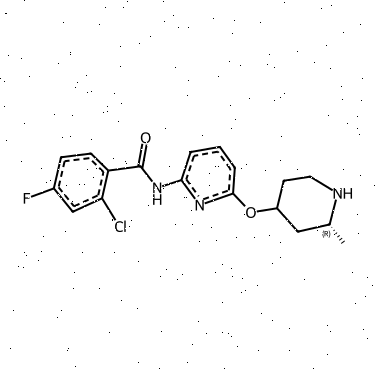 C[C@@H]1CC(Oc2cccc(NC(=O)c3ccc(F)cc3Cl)n2)CCN1